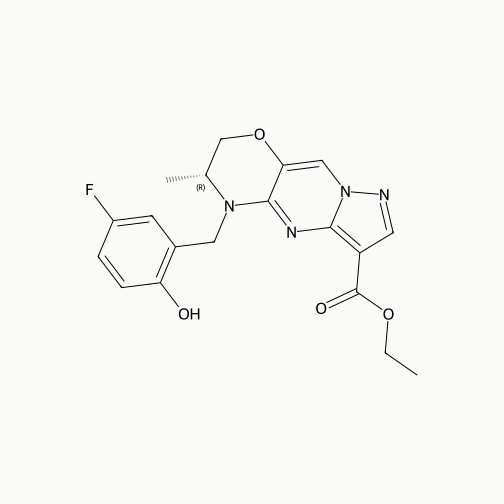 CCOC(=O)c1cnn2cc3c(nc12)N(Cc1cc(F)ccc1O)[C@H](C)CO3